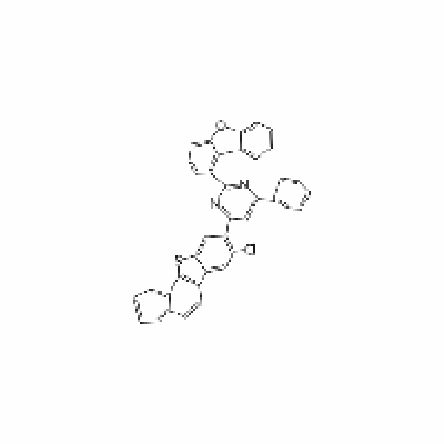 Clc1cc2c(cc1-c1cc(-c3ccccc3)nc(-c3cccc4oc5ccccc5c34)n1)sc1c3ccccc3ccc21